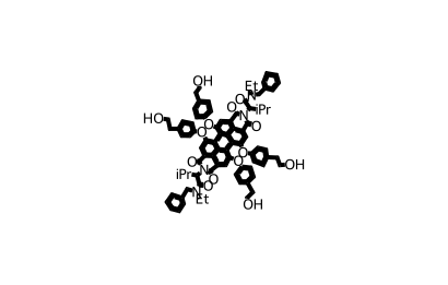 CCN(Cc1ccccc1)C(=O)C(C(C)C)N1C(=O)c2cc(Oc3ccc(CCO)cc3)c3c4c(Oc5ccc(CCO)cc5)cc5c6c(cc(Oc7ccc(CCO)cc7)c(c7c(Oc8ccc(CCO)cc8)cc(c2c37)C1=O)c64)C(=O)N(C(C(=O)N(CC)Cc1ccccc1)C(C)C)C5=O